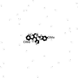 COc1ccc2nc(N3OCC(O)=C(C(=O)c4ccccc4OC)C3c3ccsc3)sc2c1